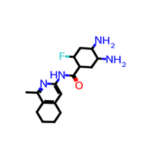 Cc1nc(NC(=O)C2CC(N)C(N)CC2F)cc2c1CCCC2